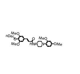 CCCCCCCCCCOc1c(OC)cc(/C=C/C(=O)NN2CCN(c3ccc(OC)cc3OC)CC2)cc1OC